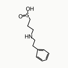 O=S(O)CCCNCCc1ccccc1